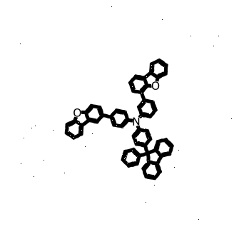 c1ccc(C2(c3ccc(N(c4ccc(-c5ccc6oc7ccccc7c6c5)cc4)c4cccc(-c5cccc6c5oc5ccccc56)c4)cc3)c3ccccc3-c3ccccc32)cc1